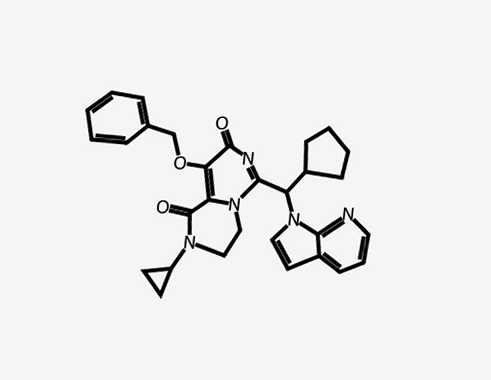 O=C1c2c(OCc3ccccc3)c(=O)nc(C(C3CCCC3)n3ccc4cccnc43)n2CCN1C1CC1